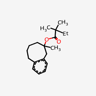 CCC(C)(C)C(=O)OC1(C)CCCCc2ccccc2C1